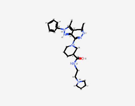 Cc1nnc(N2CCCC(C(=O)NCCN3CCCC3)C2)c2nn(-c3ccccc3)c(C)c12